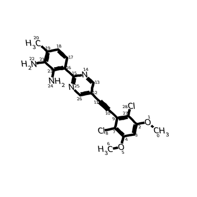 COc1cc(OC)c(Cl)c(C#Cc2cnc(-c3ccc(C)c(N)c3N)nc2)c1Cl